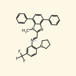 Cn1c(/C=N/c2cc(C(F)(F)F)ccc2N2CCCC2)nc2c(-c3ccccc3)ccc(-c3ccccc3)c21